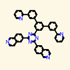 c1ccc(-c2cccc(-c3cc(-c4cccc(-c5ccccn5)c4)cc(-c4nc(-c5ccc6cnccc6c5)nc(-c5ccc6cnccc6c5)n4)c3)c2)nc1